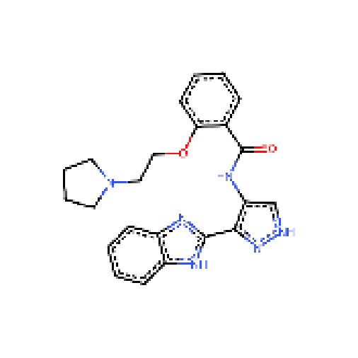 O=C(Nc1c[nH]nc1-c1nc2ccccc2[nH]1)c1ccccc1OCCN1CCCC1